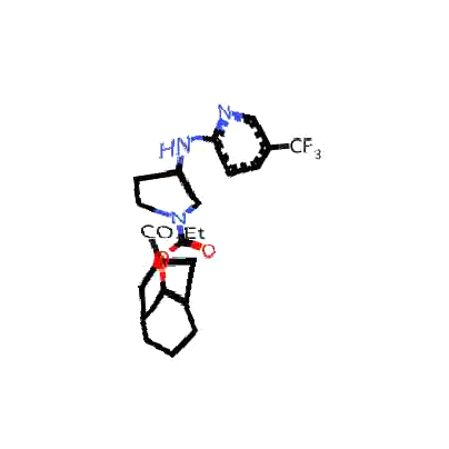 CCOC(=O)C1CC2CCCC(C1)C2OC(=O)N1CCC(Nc2ccc(C(F)(F)F)cn2)C1